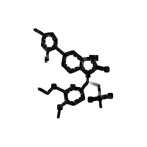 CCOc1nc([C@@H](CS(C)(=O)=O)n2c(=O)[nH]c3cc(-c4ccc(C)cc4F)ccc32)ccc1OC